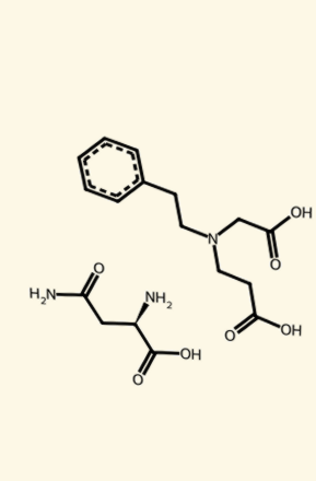 NC(=O)C[C@@H](N)C(=O)O.O=C(O)CCN(CCc1ccccc1)CC(=O)O